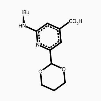 CC[C@H](C)Nc1cc(C(=O)O)cc(C2OCCCO2)n1